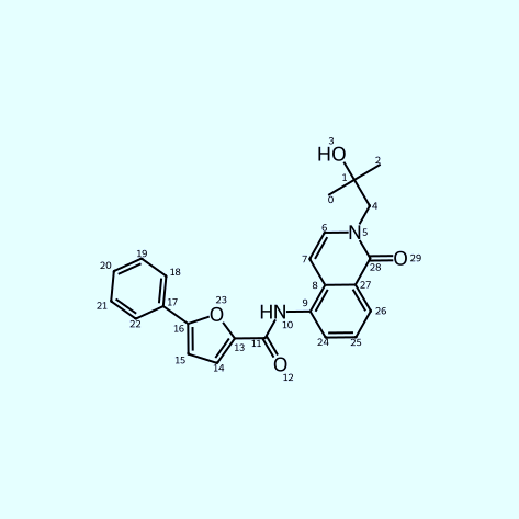 CC(C)(O)Cn1ccc2c(NC(=O)c3ccc(-c4ccccc4)o3)cccc2c1=O